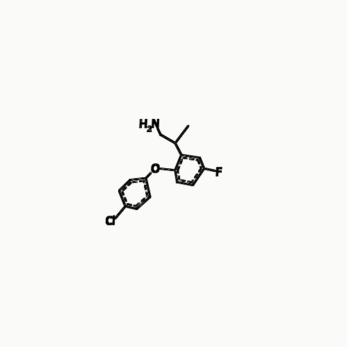 CC(CN)c1cc(F)ccc1Oc1ccc(Cl)cc1